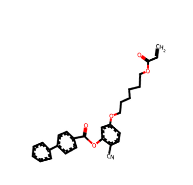 C=CC(=O)OCCCCCCOc1ccc(C#N)c(OC(=O)c2ccc(-c3ccccc3)cc2)c1